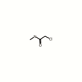 C[N]C(=O)CCl